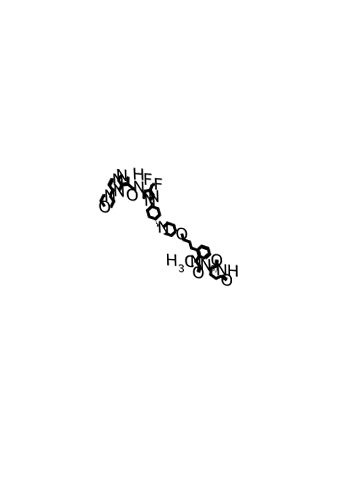 Cn1c(=O)n([C@H]2CCC(=O)NC2=O)c2cccc(CCCOC3CCN(C[C@H]4CC[C@H](n5cc(NC(=O)c6cnn7ccc(N8CCOCC8)nc67)c(C(F)F)n5)CC4)CC3)c21